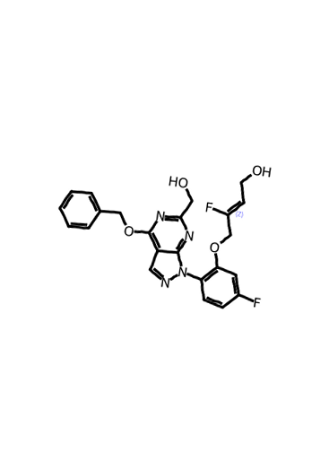 OC/C=C(\F)COc1cc(F)ccc1-n1ncc2c(OCc3ccccc3)nc(CO)nc21